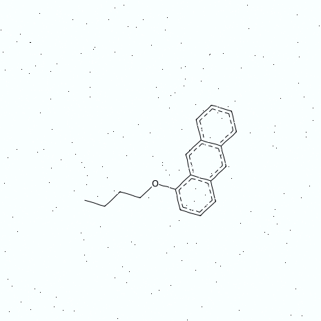 CCCCOc1cccc2cc3ccccc3cc12